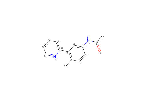 CC(=O)Nc1ccc(C)c(-c2ccccn2)c1